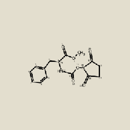 COC(=O)[C@H](Cc1ccccc1)NC(=O)ON1C(=O)CCC1=O